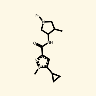 CC1CN(C(C)C)CC1NC(=O)c1cc(C2CC2)n(C)n1